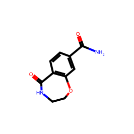 NC(=O)c1ccc2c(c1)OCCNC2=O